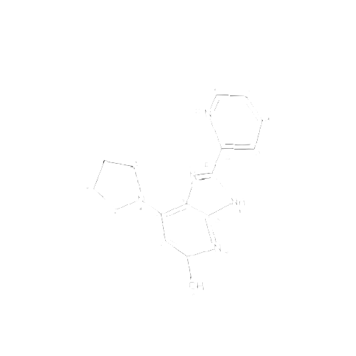 Cc1cc(N2CCCC2)c2nc(-c3ccccn3)[nH]c2n1